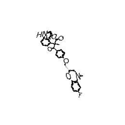 CN1C[C@@H](COc2ccc(C(=O)C(C)(C(=O)O)c3cccc4[nH]ccc34)cc2)Oc2ccc(F)cc21